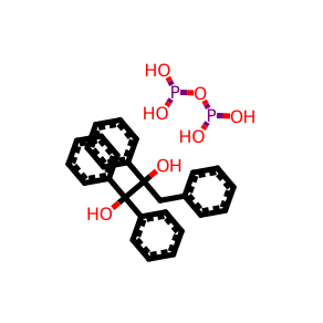 OC(Cc1ccccc1)(c1ccccc1)C(O)(c1ccccc1)c1ccccc1.OP(O)OP(O)O